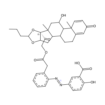 CCCC1OC2CC3C4CCC5=CC(=O)C=CC5(C)C4C(O)CC3(C)[C@]2(C(=O)COC(=O)Cc2ccccc2/N=N/c2ccc(O)c(C(=O)O)c2)O1